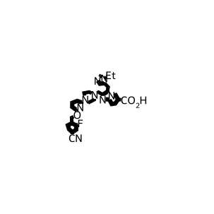 CCn1cncc1Cc1c(CN2CCN(c3cccc(OCc4ccc(C#N)cc4F)n3)CC2)nc2ccc(C(=O)O)cn12